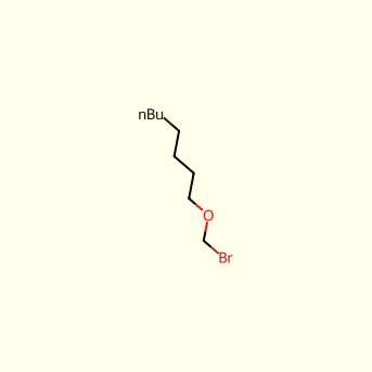 CCCCCCCCOCBr